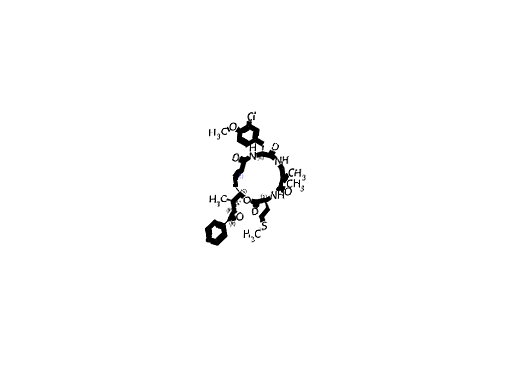 COc1ccc(C[C@H]2NC(=O)/C=C/C[C@@H]([C@H](C)[C@H]3O[C@@H]3c3ccccc3)OC(=O)[C@H](CCSC)NC(=O)C(C)(C)CNC2=O)cc1Cl